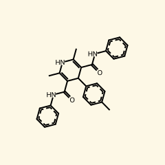 CC1=C(C(=O)Nc2ccccc2)C(c2ccc(C)cc2)C(C(=O)Nc2ccccc2)=C(C)N1